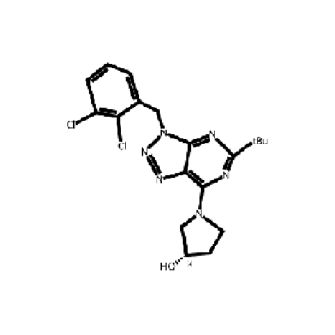 CC(C)(C)c1nc(N2CC[C@H](O)C2)c2nnn(Cc3cccc(Cl)c3Cl)c2n1